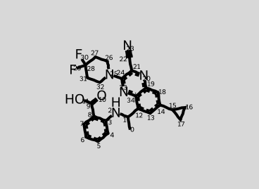 CC(Nc1ccccc1C(=O)O)c1cc(C2CC2)cc2nc(C#N)c(N3CCC(F)(F)CC3)nc12